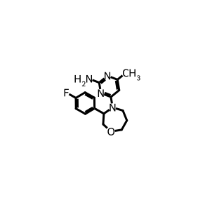 Cc1cc(N2CCCOCC2c2ccc(F)cc2)nc(N)n1